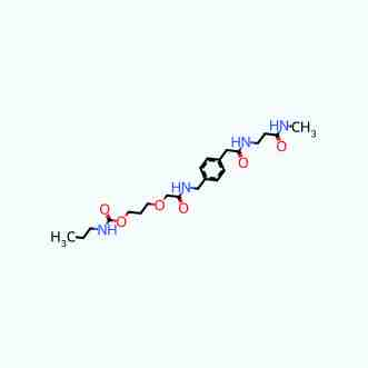 CCCNC(=O)OCCCOCC(=O)NCc1ccc(CC(=O)NCCC(=O)NC)cc1